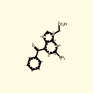 CCOC(=O)Cn1cnc2c(C(=O)c3ccccc3)nc(N)nc21